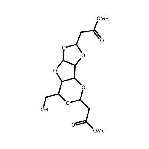 COC(=O)CC1OC2OC3C(CO)OC(CC(=O)OC)OC3C2O1